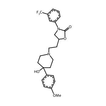 COc1ccc(C2(O)CCN(CCC3CN(c4cccc(C(F)(F)F)c4)C(=O)O3)CC2)cc1